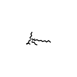 C=C(C)C[PH](CCCC)(CCCC)CCCCCCCCCC